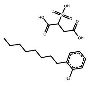 CCCCCCCCc1cccc[c]1[Na].O=C(O)CC(C(=O)O)S(=O)(=O)O